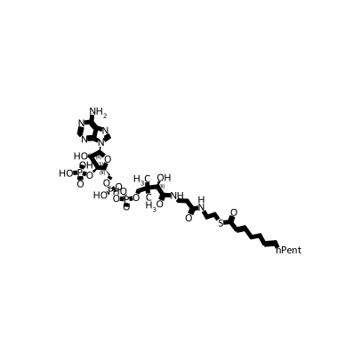 CCCCCC=CCCC=CC(=O)SCCNC(=O)CCNC(=O)[C@H](O)C(C)(C)COP(=O)(O)OP(=O)(O)OC[C@H]1O[C@@H](n2cnc3c(N)ncnc32)[C@H](O)[C@@H]1OP(=O)(O)O